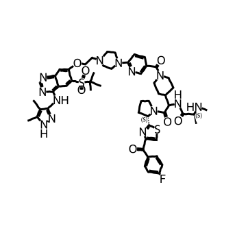 CN[C@@H](C)C(=O)NC(C(=O)N1CCC[C@H]1c1nc(C(=O)c2ccc(F)cc2)cs1)C1CCN(C(=O)c2ccc(N3CCN(CCOc4cc5ncnc(Nc6n[nH]c(C)c6C)c5cc4S(=O)(=O)C(C)(C)C)CC3)nc2)CC1